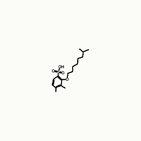 Cc1ccc(S(=O)(=O)O)c(OCCCCCCC(C)C)c1C